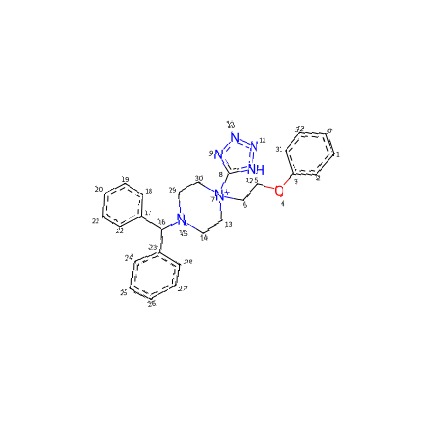 c1ccc(OCC[N+]2(c3nnn[nH]3)CCN(C(c3ccccc3)c3ccccc3)CC2)cc1